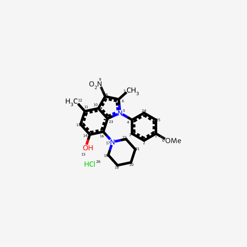 COc1ccc(-n2c(C)c([N+](=O)[O-])c3c(C)cc(O)c(N4CCCCC4)c32)cc1.Cl